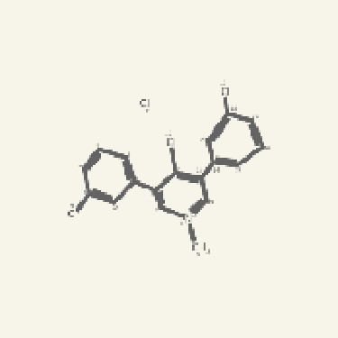 C[n+]1cc(-c2cccc(Cl)c2)c(Cl)c(-c2cccc(Cl)c2)c1.[Cl-]